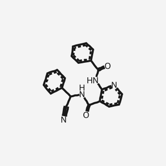 N#CC(NC(=O)c1cccnc1NC(=O)c1ccccc1)c1ccccc1